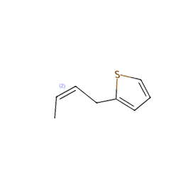 C/C=C\Cc1cccs1